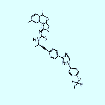 Cc1ccc(C(C)C)c(N2C(=O)CS/C2=N\C(=S)NC(C)C#Cc2ccc(-c3ncn(-c4ccc(OC(F)(F)F)cc4)n3)cc2)c1